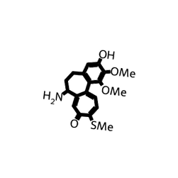 COc1c(O)cc2c(c1OC)-c1ccc(SC)c(=O)cc1C(N)CC2